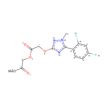 COC(=O)COC(=O)COc1nc(-c2ccc(F)cc2F)n(C)n1